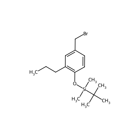 CCCc1cc(CBr)ccc1O[Si](C)(C)C(C)(C)C